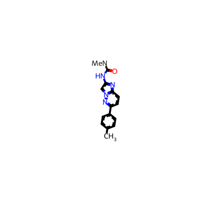 CNC(=O)Nc1cn2nc(-c3ccc(C)cc3)ccc2n1